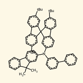 CC(C)(C)c1ccc2c(c1)C1(c3cc(N(c4cccc(-c5ccccc5)c4)c4ccc5c(c4)C(C)(C)c4ccccc4-5)ccc3-2)c2cc(C(C)(C)C)ccc2-c2ccc(C(C)(C)C)cc21